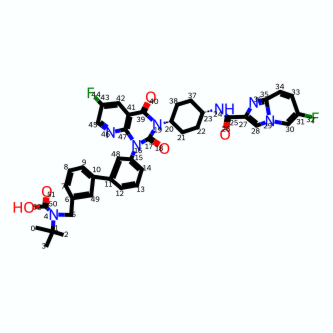 CC(C)(C)N(Cc1cccc(-c2cccc(-n3c(=O)n([C@H]4CC[C@@H](NC(=O)c5cn6cc(F)ccc6n5)CC4)c(=O)c4cc(F)cnc43)c2)c1)C(=O)O